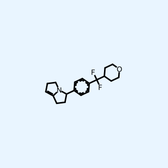 FC(F)(c1ccc(C2CCC3=CCCN32)cc1)C1CCOCC1